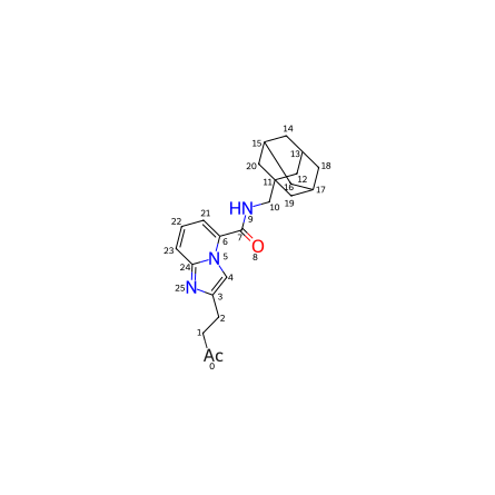 CC(=O)CCc1cn2c(C(=O)NCC34CC5CC(CC(C5)C3)C4)cccc2n1